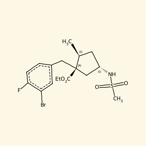 CCOC(=O)[C@]1(Cc2ccc(F)c(Br)c2)C[C@@H](NS(C)(=O)=O)C[C@@H]1C